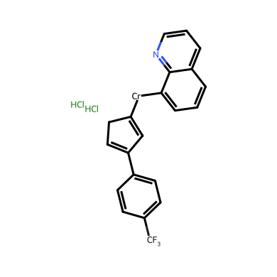 Cl.Cl.FC(F)(F)c1ccc(C2=CC[C]([Cr][c]3cccc4cccnc34)=C2)cc1